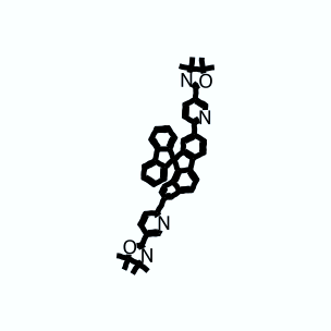 CC1(C)N=C(c2ccc(-c3ccc4c(c3)C3(c5ccccc5-c5ccccc53)c3c-4ccc4cc(-c5ccc(C6=NC(C)(C)C(C)(C)O6)cn5)ccc34)nc2)OC1(C)C